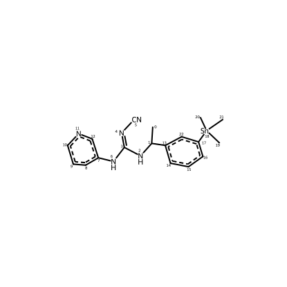 CC(NC(=NC#N)Nc1cccnc1)c1ccc[c]([Sn]([CH3])([CH3])[CH3])c1